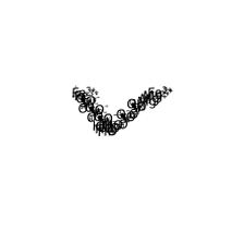 O=[Si]([O-])[O-].O=[Si]([O-])[O-].O=[Si]([O-])[O-].O=[Si]([O-])[O-].O=[Si]([O-])[O-].[Fe+3].[Fe+3].[Fe+3].[Mg+2].[Mg+2].[Mg+2].[OH-].[OH-].[OH-].[OH-].[OH-]